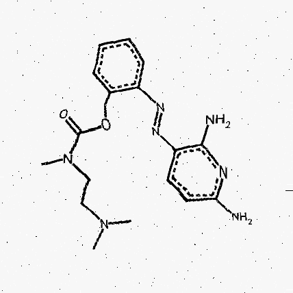 CN(C)CCN(C)C(=O)Oc1ccccc1/N=N/c1ccc(N)nc1N